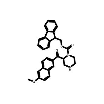 COc1ccc2cc(C(=O)C3CNCCN3C(=O)OCC3c4ccccc4-c4ccccc43)ccc2c1